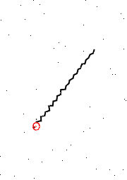 CCCCCCCCCCCCCCCCCCCCCCCCCCCC[CH]OC